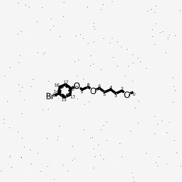 COCCCCCOCCOc1ccc(Br)cc1